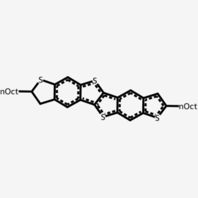 CCCCCCCCc1cc2cc3c(cc2s1)sc1c2cc4c(cc2sc31)SC(CCCCCCCC)C4